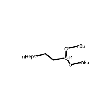 CCCCCCCCC[SiH](OCCCC)OCCCC